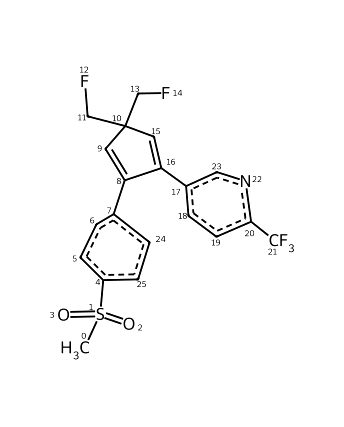 CS(=O)(=O)c1ccc(C2=CC(CF)(CF)C=C2c2ccc(C(F)(F)F)nc2)cc1